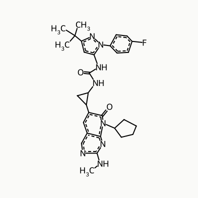 CNc1ncc2cc(C3CC3NC(=O)Nc3cc(C(C)(C)C)nn3-c3ccc(F)cc3)c(=O)n(C3CCCC3)c2n1